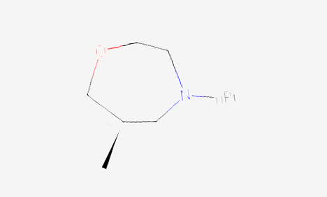 CCCN1CCOC[C@H](C)C1